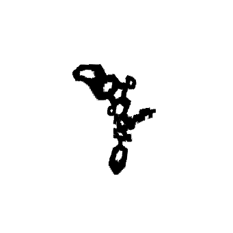 CC(C)n1c(C=C2C(=O)c3cc4ccccc4cc3C2=O)nc2sc(-c3ccccc3)nc21